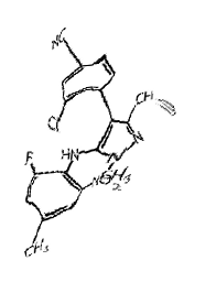 Cc1cc(F)c(Nc2c(-c3ccc(C#N)cc3Cl)c(C)nn2C)c([N+](=O)[O-])c1